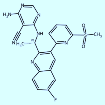 C[C@H](Nc1ncnc(N)c1C#N)c1nc2ccc(F)cc2cc1-c1cccc(S(C)(=O)=O)n1